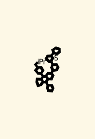 CC(C)Cc1ccc(-c2c3ccccc3c(-c3ccccc3)c3ccc(-c4cccc(-c5cccc6c5sc5ccccc56)c4)cc23)cc1